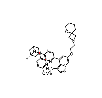 COc1ccc(CN2C3C[C@@H]2CN(c2cnc(-c4cc(OCCN5CC6(CCCCO6)C5)cn5ncc(N)c45)cn2)C3)cn1